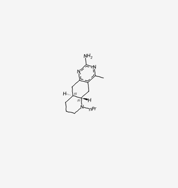 CCCN1CCC[C@H]2Cc3nc(N)nc(C)c3C[C@@H]21